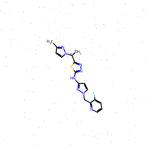 Cc1ccn([C@@H](C)c2nnc(Nc3ccn(Cc4ncccc4F)n3)s2)n1